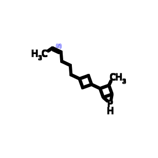 C/C=C\CCCC1CC(C2C(C)C3PC32)C1